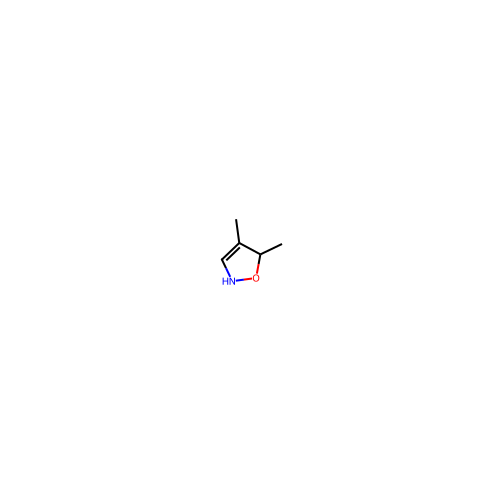 CC1=CNOC1C